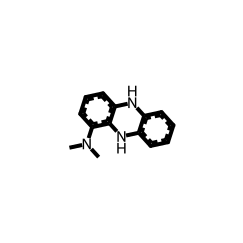 CN(C)c1cccc2c1Nc1ccccc1N2